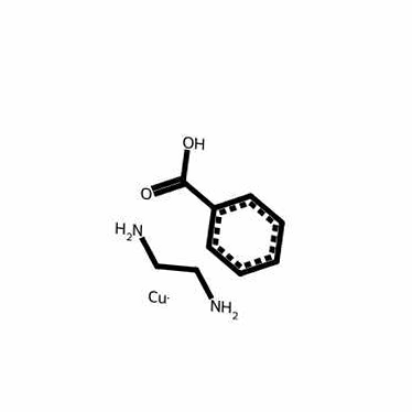 NCCN.O=C(O)c1ccccc1.[Cu]